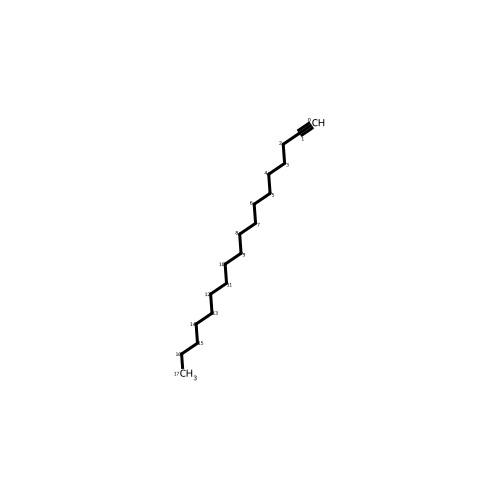 C#CCCCCCCCCCCCCCCCC